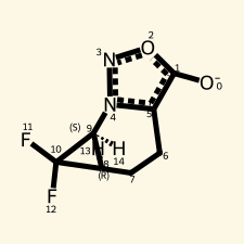 [O-]c1on[n+]2c1CC[C@@H]1[C@H]2C1(F)F